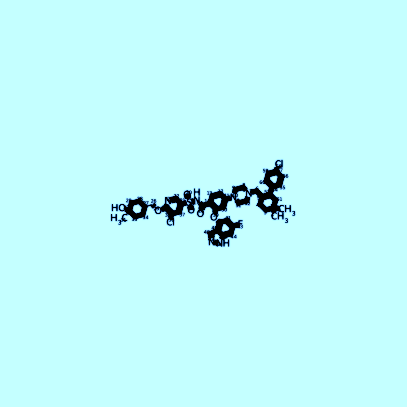 CC1(C)CCC(CN2CCN(c3ccc(C(=O)NS(=O)(=O)c4cnc(OC[C@H]5CC[C@@](C)(O)CC5)c(Cl)c4)c(Oc4cc(F)cc5[nH]ncc45)c3)CC2)=C(c2ccc(Cl)cc2)C1